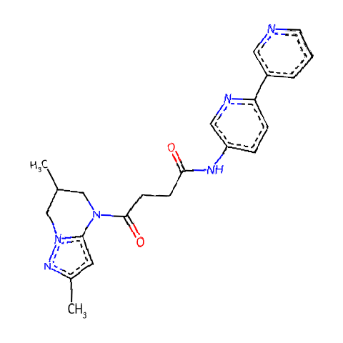 Cc1cc2n(n1)CC(C)CN2C(=O)CCC(=O)Nc1ccc(-c2cccnc2)nc1